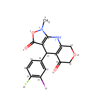 Cn1oc(=O)c2c1NC1=C(C(=O)COC1)C2c1ccc(F)c(I)c1